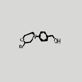 OCc1ccc(N2CCOC(Br)C2)cc1